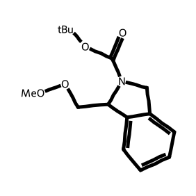 COOCC1c2ccccc2CN1C(=O)OC(C)(C)C